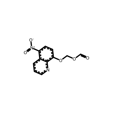 O=COCOc1ccc([N+](=O)[O-])c2cccnc12